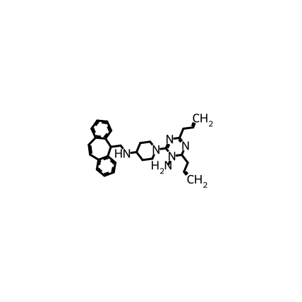 C=CCC1=NC(CC=C)N(N)C(N2CCC(NCC3c4ccccc4C=Cc4ccccc43)CC2)=N1